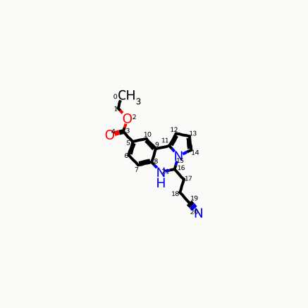 CCOC(=O)c1ccc2c(c1)-c1cccn1C(CCC#N)N2